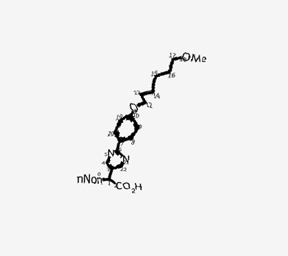 CCCCCCCCCC(C(=O)O)c1cnc(-c2ccc(OCCCCCCOC)cc2)nc1